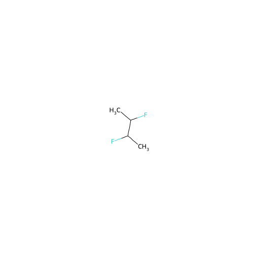 CC(F)C(C)F